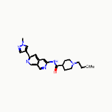 COCCN1CCC(C(=O)Nc2cc3cc(-c4cnn(C)c4)ncc3cn2)CC1